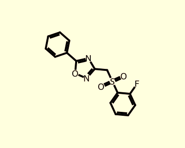 O=S(=O)(Cc1noc(-c2ccccc2)n1)c1ccccc1F